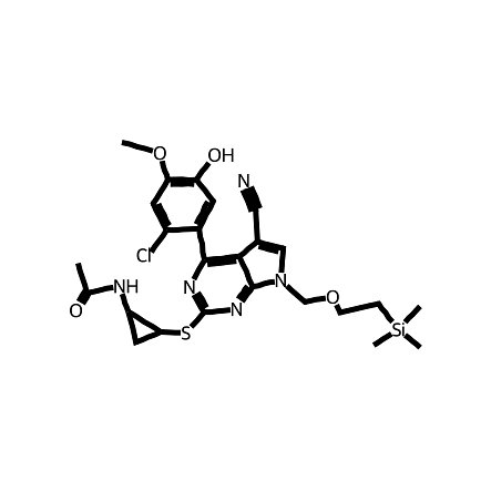 COc1cc(Cl)c(-c2nc(SC3CC3NC(C)=O)nc3c2c(C#N)cn3COCC[Si](C)(C)C)cc1O